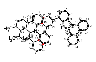 CC1C=CC2(C)C3=CC=C=C=C3N(C3=C=C=CC=C3C3=CC(c4cccc5c4oc4c6ccccc6c6ccccc6c54)=CCC3)C3(C)C(C4=CC=CCC4)=CC(C)C1=C23